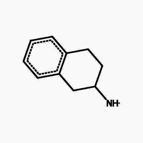 [NH]C1CCc2ccccc2C1